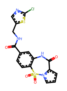 O=C(NCc1cnc(Cl)s1)c1ccc2c(c1)NC(=O)c1cccn1S2(=O)=O